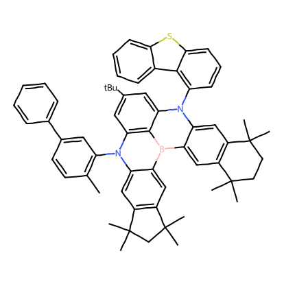 Cc1ccc(-c2ccccc2)cc1N1c2cc3c(cc2B2c4cc5c(cc4N(c4cccc6sc7ccccc7c46)c4cc(C(C)(C)C)cc1c42)C(C)(C)CCC5(C)C)C(C)(C)CC3(C)C